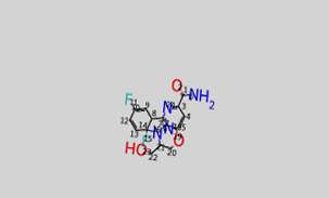 NC(=O)c1ccnc(C2C=C(F)C=CC2(F)N2CCOCC2CO)n1